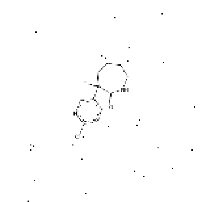 O=C1NCCCCC1(F)c1ccc(Cl)nc1